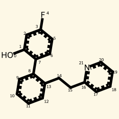 Oc1cc(F)ccc1-c1ccccc1CCc1ccccn1